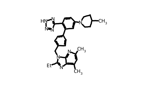 CCc1nc2c(C)cc(C)nc2n1Cc1ccc(-c2cc(N3CCC(C)CC3)ccc2-c2nn[nH]n2)cc1